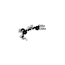 COc1ccc(CCNCC(O)COc2ccc(OCC(N)=O)c3c2CCC(=O)N3)cc1OC